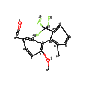 COc1ccc(C=O)cc1-c1c(C)cccc1C(F)(F)F